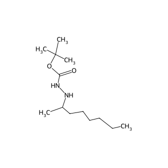 CCCCCCC(C)NNC(=O)OC(C)(C)C